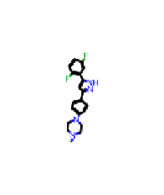 CN1CCN(c2ccc(-c3cc(-c4cc(F)ccc4F)[nH]n3)cc2)CC1